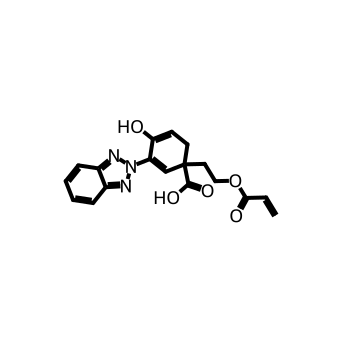 C=CC(=O)OCCC1(C(=O)O)C=C(n2nc3ccccc3n2)C(O)=CC1